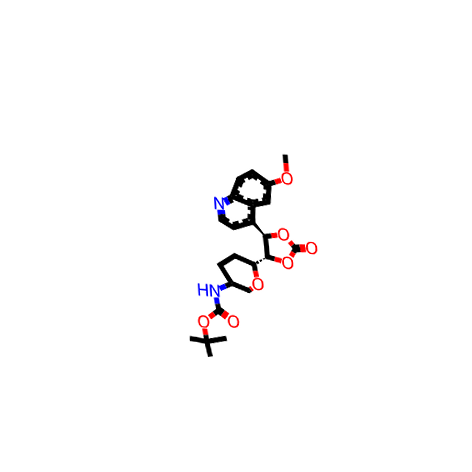 COc1ccc2nccc([C@H]3OC(=O)O[C@@H]3C3CCC(NC(=O)OC(C)(C)C)CO3)c2c1